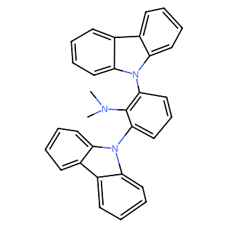 CN(C)c1c(-n2c3ccccc3c3ccccc32)cccc1-n1c2ccccc2c2ccccc21